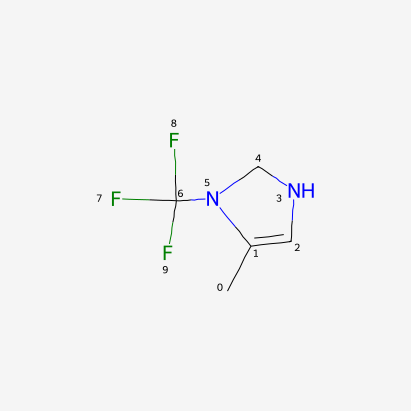 CC1=CNCN1C(F)(F)F